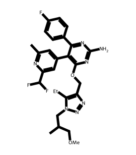 CCc1c(COc2nc(N)nc(-c3ccc(F)cc3)c2-c2cc(C)nc(C(F)F)c2)nnn1CC(C)COC